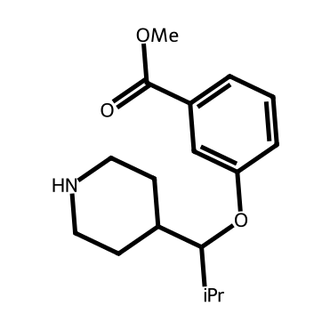 COC(=O)c1cccc(OC(C(C)C)C2CCNCC2)c1